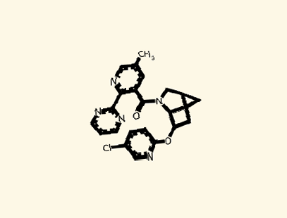 Cc1cnc(-c2ncccn2)c(C(=O)N2CC3CC34CC(Oc3ccc(Cl)cn3)C24)c1